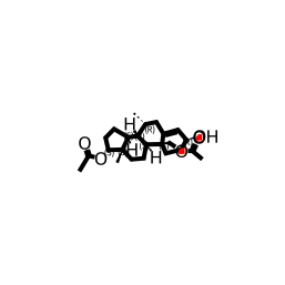 CC(=O)OC[C@]12CC[C@@H](O)C=C1C[C@@H](C)[C@@H]1[C@@H]2CC[C@]2(C)[C@@H](OC(C)=O)CC[C@@H]12